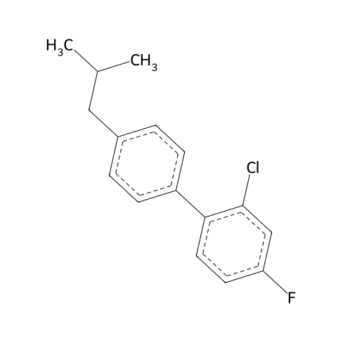 CC(C)Cc1ccc(-c2ccc(F)cc2Cl)cc1